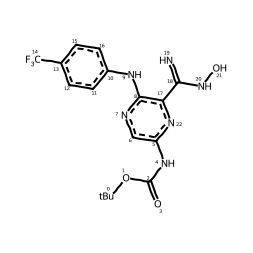 CC(C)(C)OC(=O)Nc1cnc(Nc2ccc(C(F)(F)F)cc2)c(C(=N)NO)n1